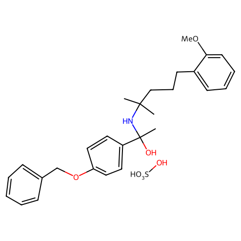 COc1ccccc1CCCC(C)(C)NC(C)(O)c1ccc(OCc2ccccc2)cc1.O=S(=O)(O)O